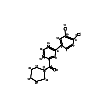 O=C(c1cc(-c2ccc(Cl)c(Cl)c2)ncn1)N1CCCCC1